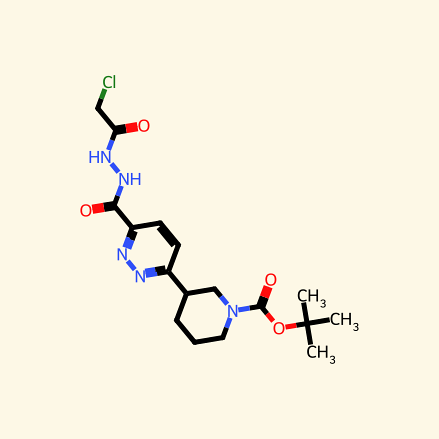 CC(C)(C)OC(=O)N1CCCC(c2ccc(C(=O)NNC(=O)CCl)nn2)C1